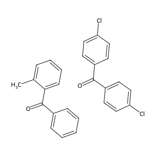 Cc1ccccc1C(=O)c1ccccc1.O=C(c1ccc(Cl)cc1)c1ccc(Cl)cc1